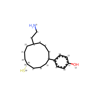 NCCC1CCCC(c2ccc(O)cc2)CCC[C@H](S)CCC1